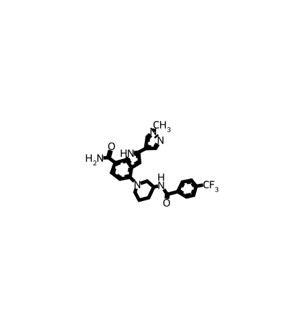 Cn1cc(-c2cc3c(N4CCCC(NC(=O)c5ccc(C(F)(F)F)cc5)C4)ccc(C(N)=O)c3[nH]2)cn1